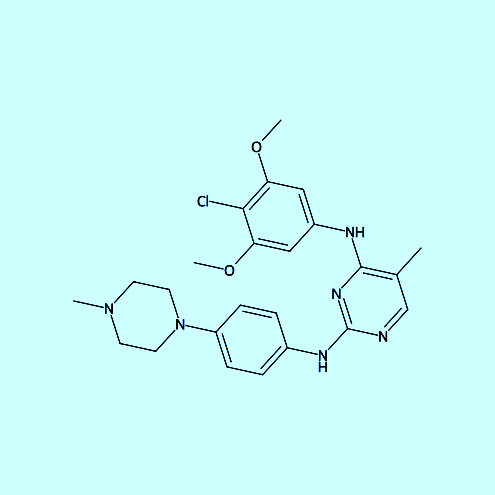 COc1cc(Nc2nc(Nc3ccc(N4CCN(C)CC4)cc3)ncc2C)cc(OC)c1Cl